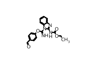 CCOC(=O)Nc1nc2ccccc2n1C(=N)Oc1ccc(C=O)cc1